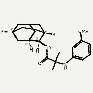 COc1cccc(NC(C)(C)C(=O)N[C@H]2[C@@H]3CC4C[C@H]2C[C@](F)(C4)C3)c1